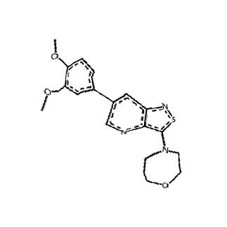 COc1ccc(-c2cnc3c(N4CCOCC4)snc3c2)cc1OC